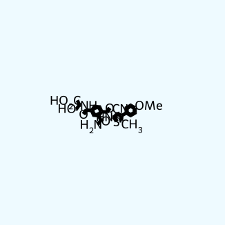 COc1ccc(-c2c(C)sc(NC(=O)c3ccc(C(=O)NC(CO)C(=O)O)cc3C(N)=O)c2C#N)cc1